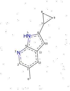 Cc1cnc2[nH]c(C3CC3)cc2c1